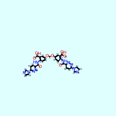 O=C(Nc1ccc(OCOc2ccc(NC(=O)c3ccc(-n4ccnc4)nn3)c(C(=O)O)c2)cc1C(=O)O)c1ccc(-n2ccnc2)nn1